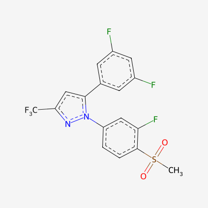 CS(=O)(=O)c1ccc(-n2nc(C(F)(F)F)cc2-c2cc(F)cc(F)c2)cc1F